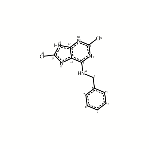 Clc1nc(NCc2ccccc2)c2nc(Cl)[nH]c2n1